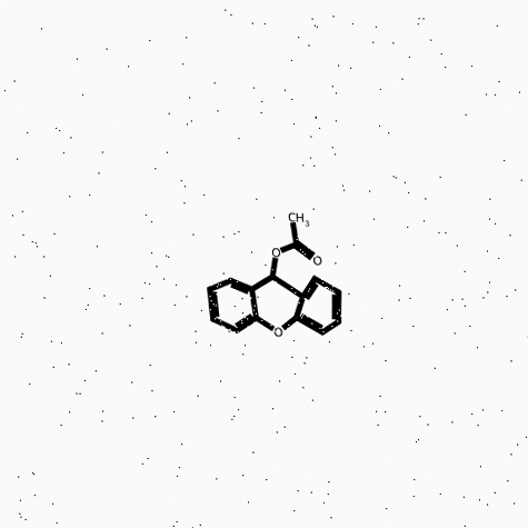 CC(=O)OC1c2ccccc2Oc2ccccc21